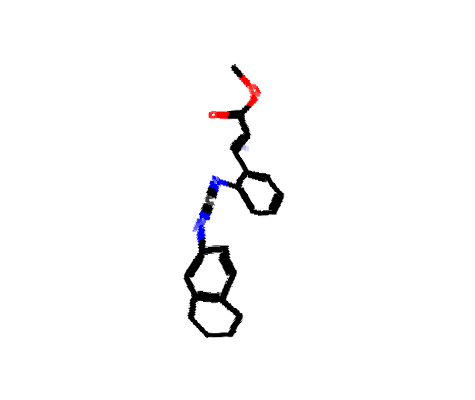 COC(=O)/C=C/c1ccccc1N=C=Nc1ccc2c(c1)CCCC2